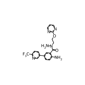 Nc1ccc(-c2ccc(C(F)(F)F)nc2)cc1C(=O)N(N)CCOc1ncccn1